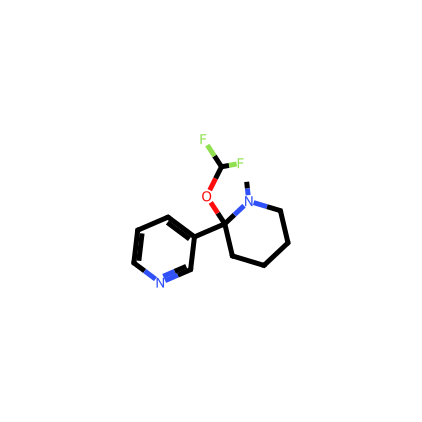 CN1CCCCC1(OC(F)F)c1cccnc1